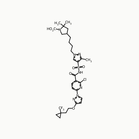 Cc1nn(CCCCC2CN(C(=O)O)C(C)(C)C2)cc1S(=O)(=O)NC(=O)c1ccc(-n2ccc(OCCC3(C(F)(F)F)CC3)n2)nc1Cl